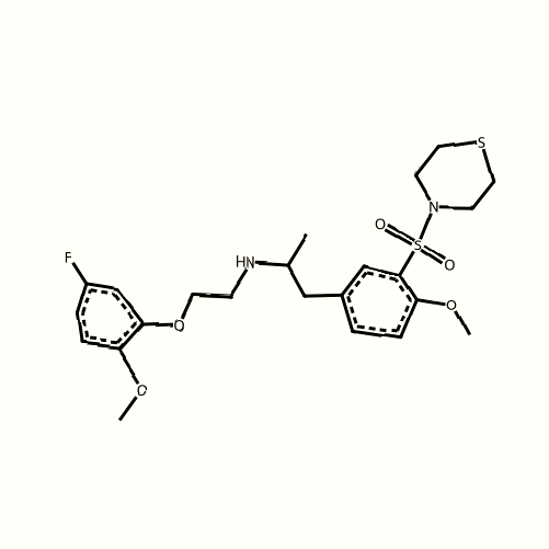 COc1ccc(F)cc1OCCNC(C)Cc1ccc(OC)c(S(=O)(=O)N2CCSCC2)c1